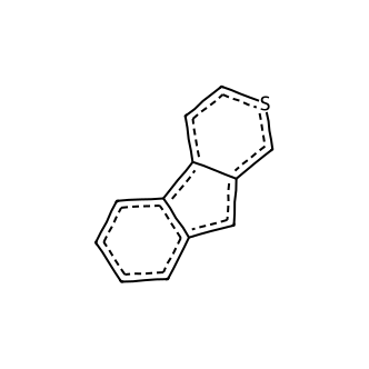 c1ccc2c3ccscc-3cc2c1